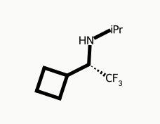 CC(C)N[C@@H](C1CCC1)C(F)(F)F